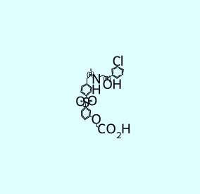 C[C@H](Cc1ccc(S(=O)(=O)c2cccc(OCC(=O)O)c2)cc1)NC[C@H](O)c1cccc(Cl)c1